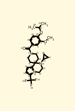 COc1cc(C(=O)N2CCC3(CC2)c2ccc(C(F)(F)F)n2CCN3C2CC2)ccc1OC(C)C